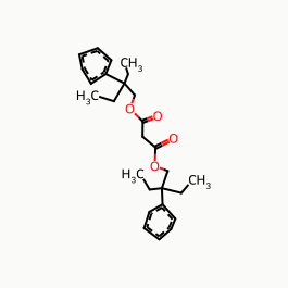 CCC(CC)(COC(=O)CC(=O)OCC(CC)(CC)c1ccccc1)c1ccccc1